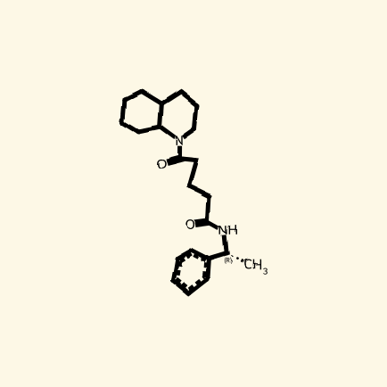 C[C@@H](NC(=O)CCCC(=O)N1CCCC2CCCCC21)c1ccccc1